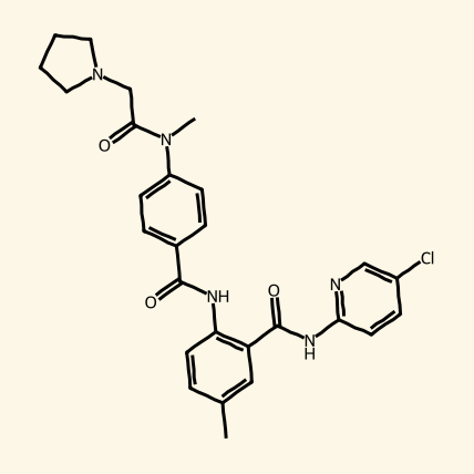 Cc1ccc(NC(=O)c2ccc(N(C)C(=O)CN3CCCC3)cc2)c(C(=O)Nc2ccc(Cl)cn2)c1